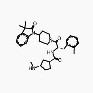 CN[C@@H]1CC[C@H](C(=O)N[C@@H](Cc2ccccc2C)C(=O)N2CCC(N3C(=O)C(C)(C)c4ccccc43)CC2)C1